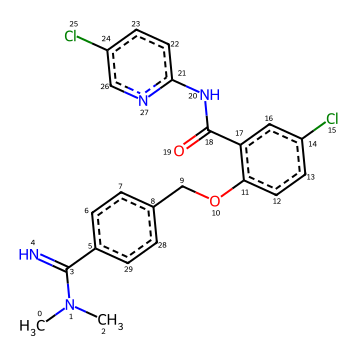 CN(C)C(=N)c1ccc(COc2ccc(Cl)cc2C(=O)Nc2ccc(Cl)cn2)cc1